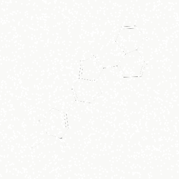 CC(C)n1ccc(-c2ccn3c(-c4ccnc5ccccc45)nnc3c2)cc1=O